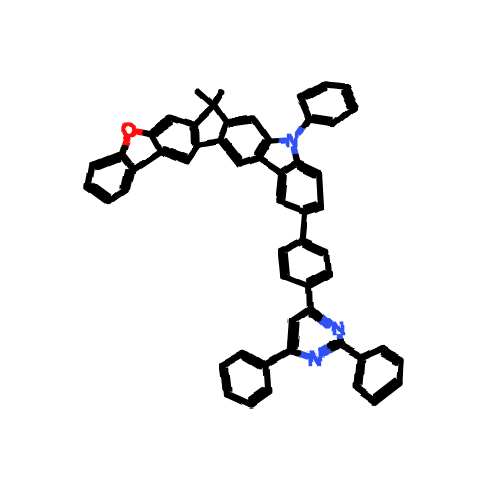 CC1(C)c2cc3oc4ccccc4c3cc2-c2cc3c4cc(-c5ccc(-c6cc(-c7ccccc7)nc(-c7ccccc7)n6)cc5)ccc4n(-c4ccccc4)c3cc21